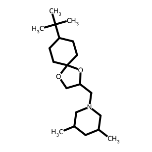 CC1CC(C)CN(CC2COC3(CCC(C(C)(C)C)CC3)O2)C1